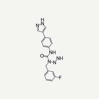 N=NN(Cc1cccc(F)c1)C(=O)Nc1ccc(-c2cn[nH]c2)cc1